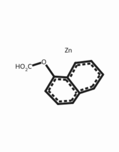 O=C(O)Oc1cccc2ccccc12.[Zn]